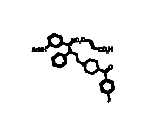 CC(=O)Nc1cccc(C(=O)N(CCN2CCC(C(=O)c3ccc(F)cc3)CC2)c2ccccc2)c1.O=C(O)C=CC(=O)O